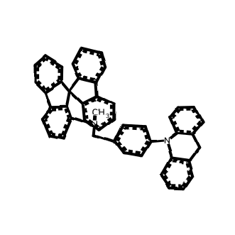 CN(Cc1ccc(N2c3ccccc3Cc3ccccc32)cc1)c1cccc2c1C1(c3ccccc3-c3ccccc31)c1ccccc1-2